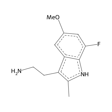 COc1cc(F)c2[nH]c(C)c(CCN)c2c1